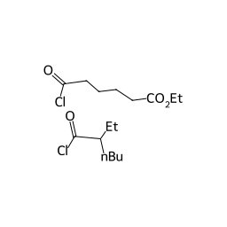 CCCCC(CC)C(=O)Cl.CCOC(=O)CCCCC(=O)Cl